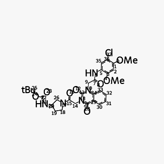 COc1cc(OC)c(NC(=O)Cn2c(=O)n(CC(=O)N3CC[C@H](NC(=O)OC(C)(C)C)C3)c(=O)c3ccccc32)cc1Cl